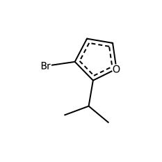 CC(C)c1occc1Br